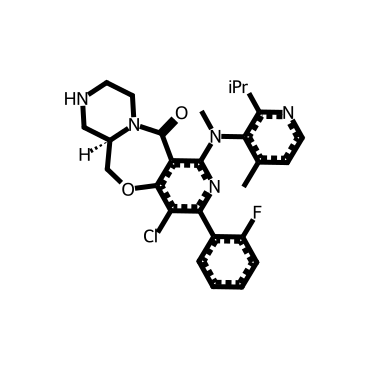 Cc1ccnc(C(C)C)c1N(C)c1nc(-c2ccccc2F)c(Cl)c2c1C(=O)N1CCNC[C@@H]1CO2